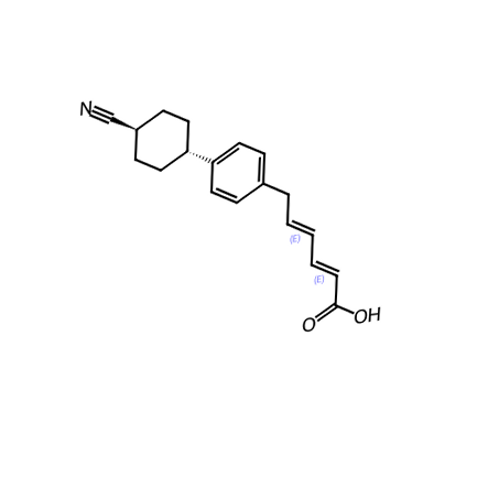 N#C[C@H]1CC[C@H](c2ccc(C/C=C/C=C/C(=O)O)cc2)CC1